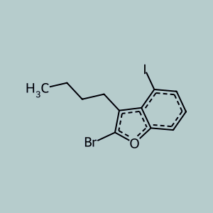 CCCCc1c(Br)oc2cccc(I)c12